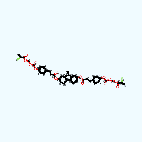 C=C(F)C(=O)OCOC(=O)Oc1ccc(CCC(=O)Oc2ccc3c(c2)C(C)c2cc(OC(=O)CCc4ccc(OC(=O)OCOC(=O)C(=C)F)cc4)ccc2-3)cc1